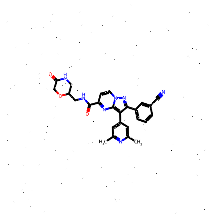 Cc1cc(-c2c(-c3cccc(C#N)c3)nn3ccc(C(=O)NCC4CNC(=O)CO4)nc23)cc(C)n1